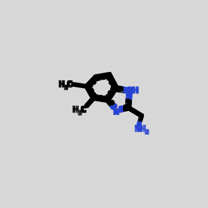 Cc1ccc2[nH]c(CN)nc2c1C